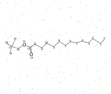 CCCCCCCCCCCCCC(=O)OCC(C)(C)C